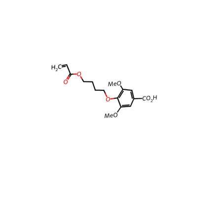 C=CC(=O)OCCCCOc1c(OC)cc(C(=O)O)cc1OC